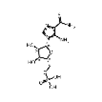 NC(=S)c1ncn([C@@H]2O[C@H](COP(=O)(O)O)[C@@H](O)[C@H]2O)c1N